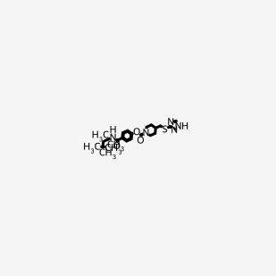 CC(C)(C)CC(C)(C)NC(=O)c1ccc(OC(=O)N2CCC(CSc3nc[nH]n3)CC2)cc1